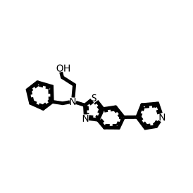 OCCN(Cc1ccccc1)c1nc2ccc(-c3ccncc3)cc2s1